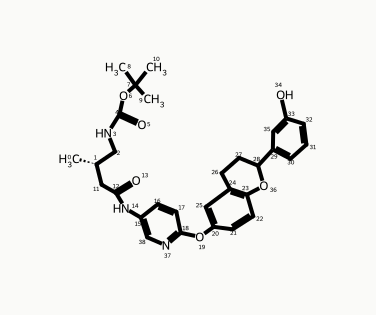 C[C@H](CNC(=O)OC(C)(C)C)CC(=O)Nc1ccc(Oc2ccc3c(c2)CCC(c2cccc(O)c2)O3)nc1